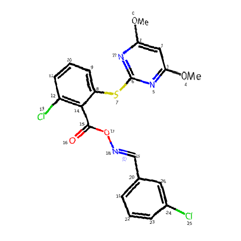 COc1cc(OC)nc(Sc2cccc(Cl)c2C(=O)O/N=C/c2cccc(Cl)c2)n1